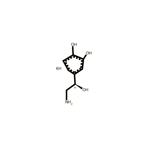 NC[C@H](O)c1ccc(O)c(O)c1.[KH]